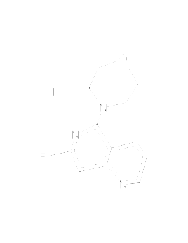 C[C@@H]1COCCN1c1nc(F)cc2ncccc12